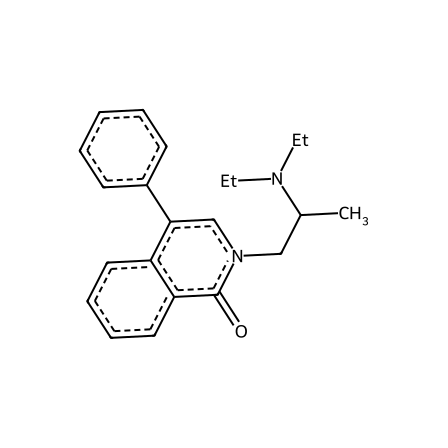 CCN(CC)C(C)Cn1cc(-c2ccccc2)c2ccccc2c1=O